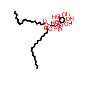 CCCCC/C=C\C/C=C\CCCCCCCC(=O)OC[C@H](COP(=O)(O)OC1C(O)C(O)C(O)[C@@H](O)C1O)OC(=O)CCCCCCCCC/C=C\CCCCCCCC